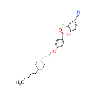 CCCCC[C@H]1CC[C@H](/C=C/COc2ccc(C(=O)Oc3ccc(C#N)cc3F)cc2)CC1